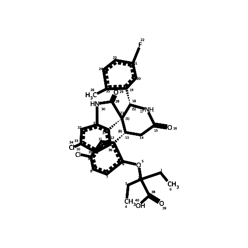 CCC(CC)(Oc1ccc(Cl)cc1[C@H]1CC(=O)N[C@@H](c2cc(F)ccc2C)[C@]12C(=O)Nc1cc(Cl)ccc12)C(=O)O